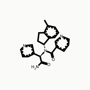 Cc1cccc2c1CC[C@H]2N(C(=O)c1cccnc1)[C@@H](C(N)=O)c1cccnc1